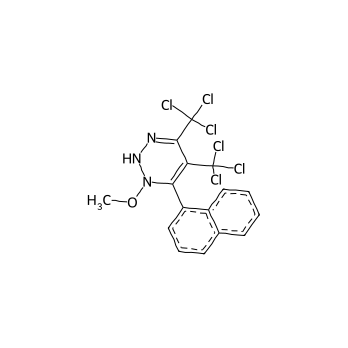 CON1NN=C(C(Cl)(Cl)Cl)C(C(Cl)(Cl)Cl)=C1c1cccc2ccccc12